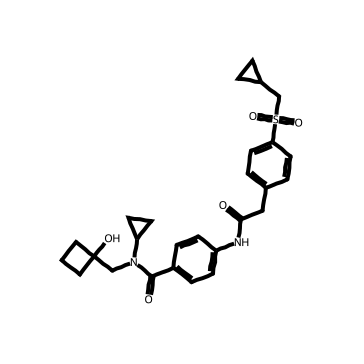 O=C(Cc1ccc(S(=O)(=O)CC2CC2)cc1)Nc1ccc(C(=O)N(CC2(O)CCC2)C2CC2)cc1